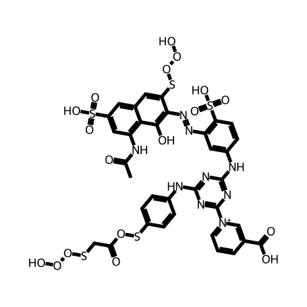 CC(=O)Nc1cc(S(=O)(=O)O)cc2cc(SOOO)c(N=Nc3cc(Nc4nc(Nc5ccc(SOC(=O)CSOOO)cc5)nc(-[n+]5cccc(C(=O)O)c5)n4)ccc3S(=O)(=O)O)c(O)c12